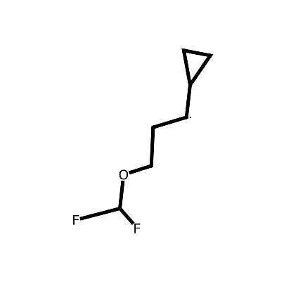 FC(F)OCC[CH]C1CC1